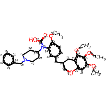 COc1ccc(CC2COc3cc(OC)c(OC)c(OC)c3C2)cc1N(C(=O)O)C1CCN(Cc2ccccc2)CC1